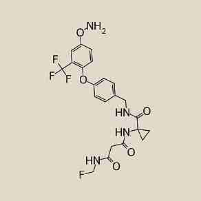 NOc1ccc(Oc2ccc(CNC(=O)C3(NC(=O)CC(=O)NCF)CC3)cc2)c(C(F)(F)F)c1